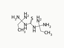 CCC(N)(N)NC(=S)NC(N)(N)CC